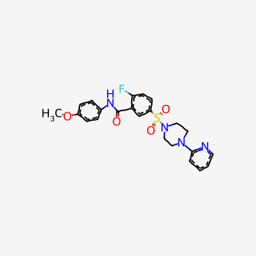 COc1ccc(NC(=O)c2cc(S(=O)(=O)N3CCN(c4ccccn4)CC3)ccc2F)cc1